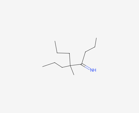 CCCC(=N)C(C)(CCC)CCC